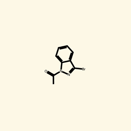 CC(=O)n1nc(Br)c2ccccc21